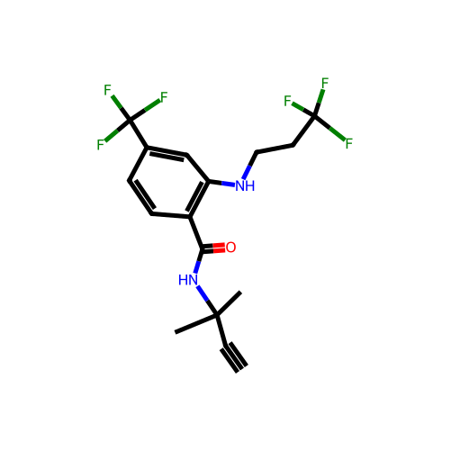 C#CC(C)(C)NC(=O)c1ccc(C(F)(F)F)cc1NCCC(F)(F)F